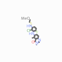 COCCSNc1ccc(F)c(Nc2ccc3ncn(C)c(=O)c3c2C)c1Cl